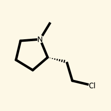 CN1CCC[C@H]1CCCl